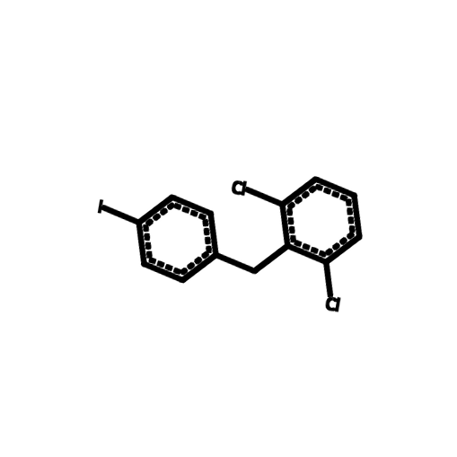 Clc1cccc(Cl)c1Cc1ccc(I)cc1